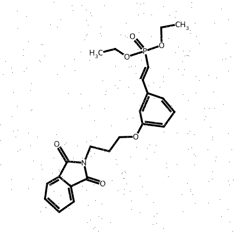 CCOP(=O)(C=Cc1cccc(OCCCN2C(=O)c3ccccc3C2=O)c1)OCC